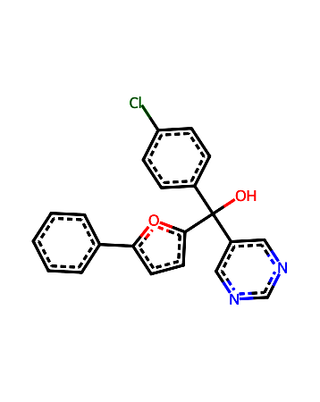 OC(c1ccc(Cl)cc1)(c1cncnc1)c1ccc(-c2ccccc2)o1